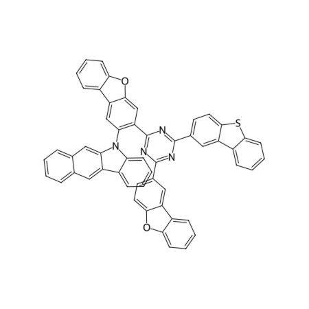 c1ccc2cc3c(cc2c1)c1ccccc1n3-c1cc2c(cc1-c1nc(-c3ccc4oc5ccccc5c4c3)nc(-c3ccc4sc5ccccc5c4c3)n1)oc1ccccc12